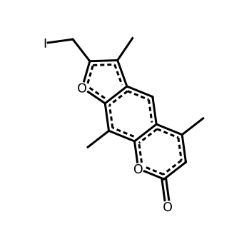 Cc1cc(=O)oc2c(C)c3oc(CI)c(C)c3cc12